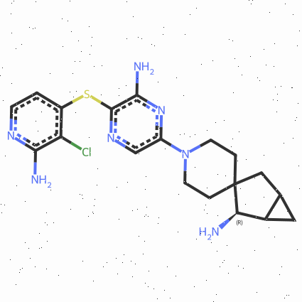 Nc1nc(N2CCC3(CC2)CC2CC2[C@H]3N)cnc1Sc1ccnc(N)c1Cl